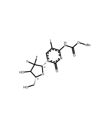 CCCCOC(=O)Nc1nc(=O)n([C@@H]2O[C@H](CO)C(O)C2(F)F)cc1I